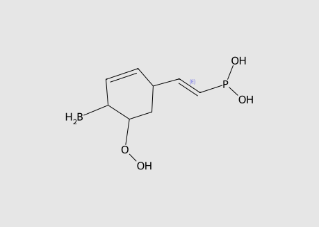 BC1C=CC(/C=C/P(O)O)CC1OO